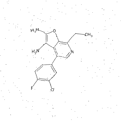 CCc1ncc(-c2ccc(F)c(Cl)c2)c2c(N)c(N)oc12